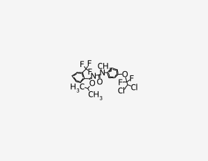 CC(C)O/C(=N\C(=O)N(C)c1ccc(OC(F)(F)C(Cl)Cl)cc1)c1ccccc1C(F)(F)F